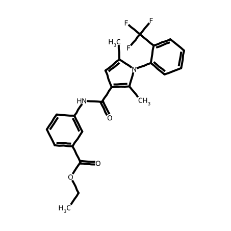 CCOC(=O)c1cccc(NC(=O)c2cc(C)n(-c3ccccc3C(F)(F)F)c2C)c1